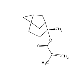 C=C(C)C(=O)O[C@]1(C)CCC23CC2CC1C3